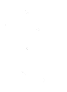 O=C(O)N(Cc1cc2c(cn1)OCCO2)C1CCN(CCn2c(=O)ccc3ncc(C(F)(F)F)cc32)CC1